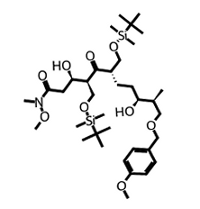 COc1ccc(COC[C@H](C)[C@@H](O)CC[C@@H](CO[Si](C)(C)C(C)(C)C)C(=O)[C@@H](CO[Si](C)(C)C(C)(C)C)[C@H](O)CC(=O)N(C)OC)cc1